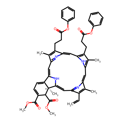 C=CC1=C(C)c2cc3[nH]c(cc4nc(cc5[nH]c(cc1n2)[C@]1(C)C5=CC=C(C(=O)OC)C1C(=O)OC)C(C)=C4CCC(=O)Oc1ccccc1)c(CCC(=O)Oc1ccccc1)c3C